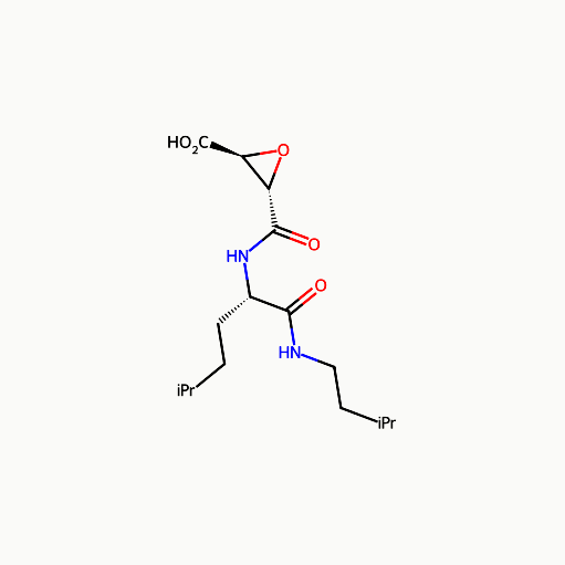 CC(C)CCNC(=O)[C@H](CCC(C)C)NC(=O)[C@H]1O[C@@H]1C(=O)O